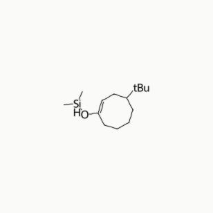 C[SiH](C)OC1=CCC(C(C)(C)C)CCCC1